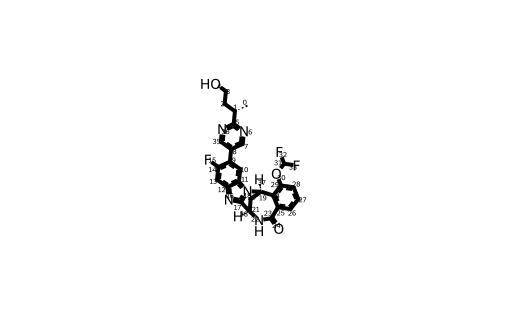 C[C@@H](CCO)c1ncc(-c2cc3c(cc2F)nc2n3[C@@H]3C[C@H]2NC(=O)c2cccc(OC(F)F)c23)cn1